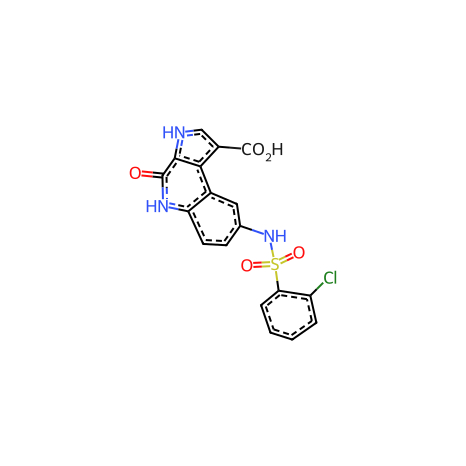 O=C(O)c1c[nH]c2c(=O)[nH]c3ccc(NS(=O)(=O)c4ccccc4Cl)cc3c12